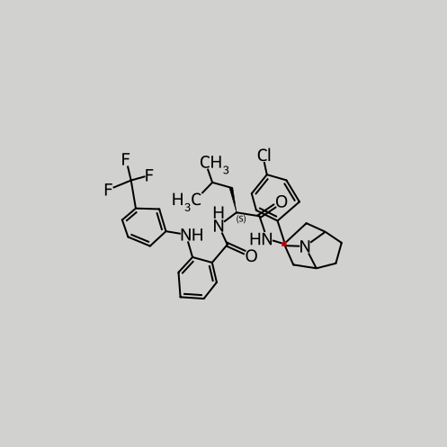 CC(C)C[C@H](NC(=O)c1ccccc1Nc1cccc(C(F)(F)F)c1)C(=O)NC1CC2CCC(C1)N2Cc1ccc(Cl)cc1